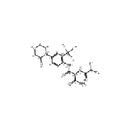 NC(=O)[C@H](NC(=O)C(F)F)C(=O)Nc1ccc(N2CCOCC2=O)cc1C(F)(F)F